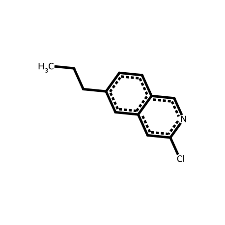 CCCc1ccc2cnc(Cl)cc2c1